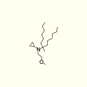 CCCCCCC(C)(CCCCCC)N(CCOC)C1CC1